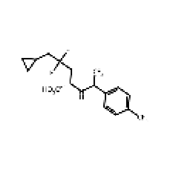 O=C(O)[C@H](CC(F)(F)CC1CC1)NC(c1ccc(C(F)(F)F)cc1)C(F)(F)F